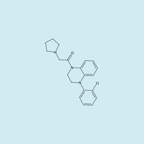 O=C(CN1CCCC1)N1CCN(c2ccccc2Cl)c2ccccc21